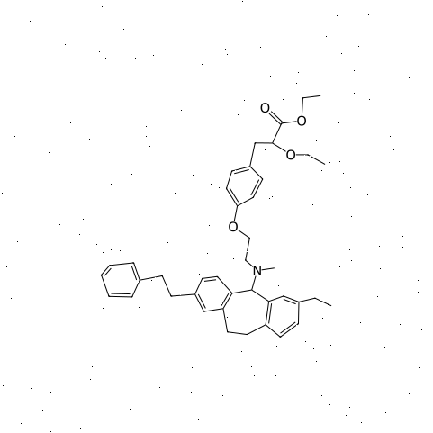 CCOC(=O)C(Cc1ccc(OCCN(C)C2c3ccc(CCc4ccccc4)cc3CCc3ccc(CC)cc32)cc1)OCC